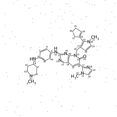 CN1CCC(Nc2ccc(Nc3ncc4cc(-c5nccn5C)c(=O)n(Cc5ccn(C)c5C5=CCCC5)c4n3)cc2)CC1